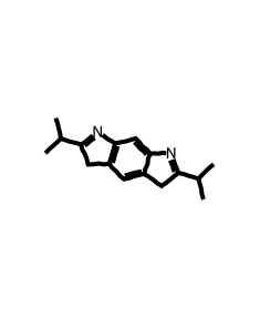 CC(C)C1=Nc2cc3c(cc2C1)CC(C(C)C)=N3